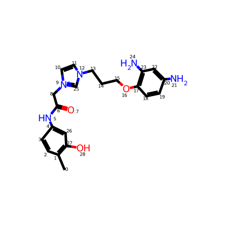 Cc1ccc(NC(=O)C[n+]2ccn(CCCOc3ccc(N)cc3N)c2)cc1O